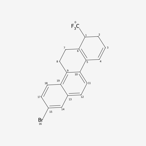 FC(F)(F)C1CC=CC2=C1CCc1c2ccc2cc(Br)ccc12